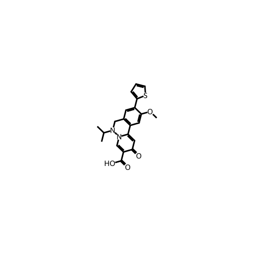 COc1cc2c(cc1-c1cccs1)CN(C(C)C)n1cc(C(=O)O)c(=O)cc1-2